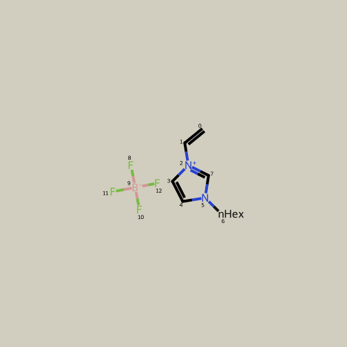 C=C[n+]1ccn(CCCCCC)c1.F[B-](F)(F)F